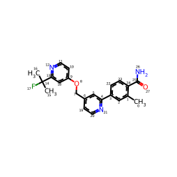 Cc1cc(-c2cc(COc3ccnc(C(C)(C)F)c3)ccn2)ccc1C(N)=O